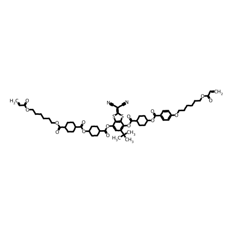 C=CC(=O)OCCCCCCOC(=O)C1CCC(C(=O)OC2CCC(C(=O)Oc3cc(C(C)(C)C)c(OC(=O)C4CCC(OC(=O)c5ccc(OCCCCCCOC(=O)C=C)cc5)CC4)c4c3SC(=C(C#N)C#N)S4)CC2)CC1